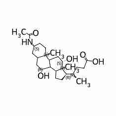 CC(=O)N[C@H]1CC[C@@]2(C)C(C1)C[C@@H](O)C1C2C[C@H](O)[C@@]2(C)C1CC[C@@H]2[C@H](C)CCC(=O)O